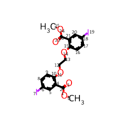 COC(=O)c1cc(I)ccc1OCCOc1ccc(I)cc1C(=O)OC